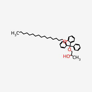 CCCCCCCCCCCCCCCCOc1ccccc1C(OCC(C)O)(c1ccccc1)c1ccccc1